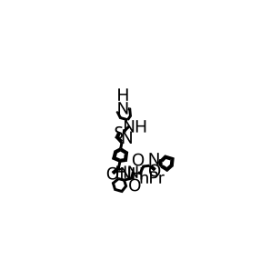 CCCC(NC(=O)C1(NC(=O)c2ccc(-c3csc(NC4CCNCC4)n3)cc2)CCCCC1)C(=O)c1nc2ccccc2o1